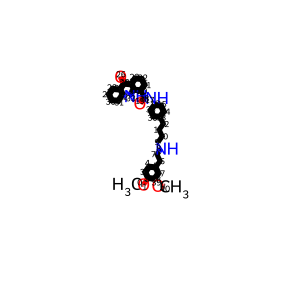 COc1ccc(CCNCCCCc2ccc(NC(=O)c3cccc4c(=O)c5ccccc5[nH]c34)cc2)cc1OC